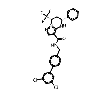 O=C(NCc1ccc(-c2cc(Cl)cc(Cl)c2)cc1)c1cnn2c1N[C@@H](c1ccccc1)C[C@H]2C(F)(F)F